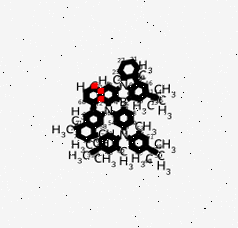 Cc1cc2c3c(c1)N1c4c(cc(C(C)(C)C)cc4C4(C)CCCCC14C)B3c1ccc(N(c3ccc(C(C)(C)C)cc3C)c3ccc(C(C)(C)C)cc3C)cc1N2c1cc2c(cc1-c1ccccc1)C(C)(C)CCC2(C)C